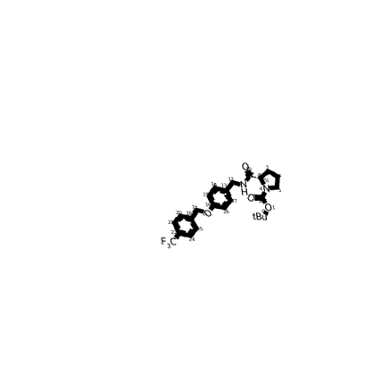 CC(C)(C)OC(=O)N1CCC[C@H]1C(=O)NCc1ccc(OCc2ccc(C(F)(F)F)cc2)cc1